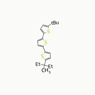 CCC(C)(CC)c1ccc(-c2ccc(-c3ccc(C(C)(C)C)s3)s2)s1